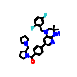 CC1(C)CN(Cc2cc(F)ccc2F)c2cc(-c3ccc(C(=O)N4CCC[C@H]4CN4CCCC4)cc3)cnc2N1